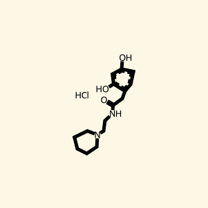 Cl.O=C(Cc1ccc(O)cc1O)NCCN1CCCCC1